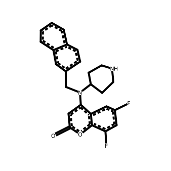 O=c1cc(N(Cc2ccc3ccccc3c2)C2CCNCC2)c2cc(F)cc(F)c2o1